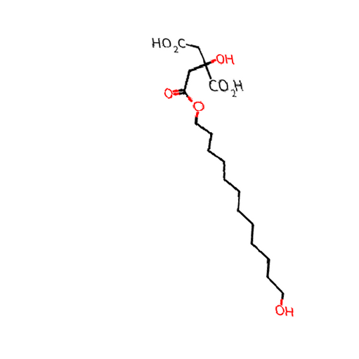 O=C(O)CC(O)(CC(=O)OCCCCCCCCCCCCO)C(=O)O